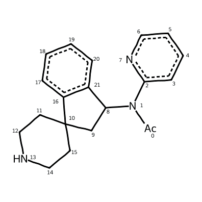 CC(=O)N(c1ccccn1)C1CC2(CCNCC2)c2ccccc21